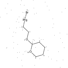 [Br][Mg][CH2]COC1CCCCO1